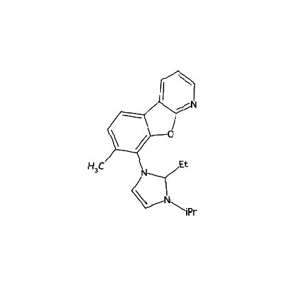 CCC1N(c2c(C)ccc3c2oc2ncccc23)C=CN1C(C)C